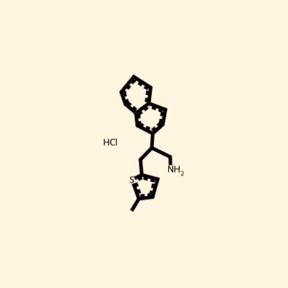 Cc1ccc(CC(CN)c2ccc3ccccc3c2)s1.Cl